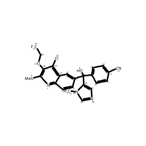 COc1nc2ccc(C(O)(c3ccc(C#N)cc3)c3cncn3C)cc2c(Cl)c1OCC(F)(F)F